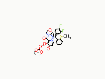 COC(=O)OCOc1c2n(ccc1=O)N([C@@H](c1ccc(F)c(F)c1)c1ccccc1SC)[C@@H]1COCCN1C2=O